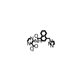 COC(=O)c1nccnc1NC(=O)c1ccc(Cn2ccnn2)c2ccccc12